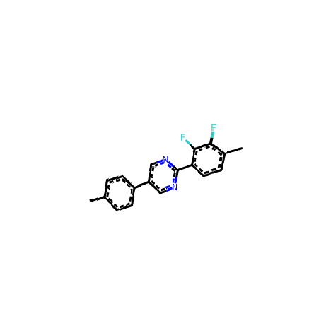 Cc1ccc(-c2cnc(-c3ccc(C)c(F)c3F)nc2)cc1